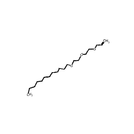 C=CCOCCOCCOCCCCCCCCCCCC